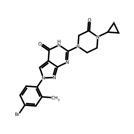 Cc1cc(Br)ccc1-n1cc2c(=O)[nH]c(N3CCN(C4CC4)C(=O)C3)nc2n1